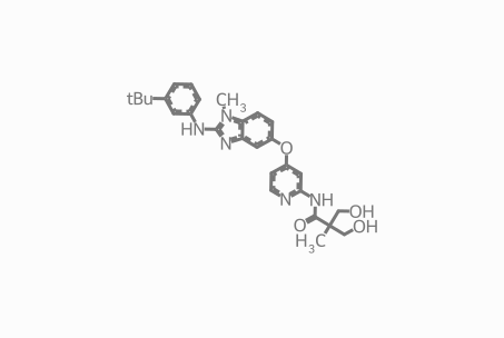 Cn1c(Nc2cccc(C(C)(C)C)c2)nc2cc(Oc3ccnc(NC(=O)C(C)(CO)CO)c3)ccc21